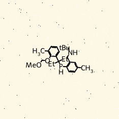 CCC(CC)(Pc1ccc(C)cc1CNC(C)(C)C)c1cccc(C)c1OCOC